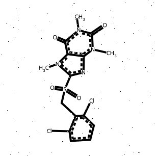 Cn1c(=O)c2c(nc(S(=O)(=O)Cc3c(Cl)cccc3Cl)n2C)n(C)c1=O